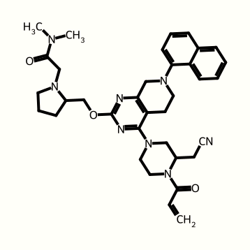 C=CC(=O)N1CCN(c2nc(OCC3CCCN3CC(=O)N(C)C)nc3c2CCN(c2cccc4ccccc24)C3)CC1CC#N